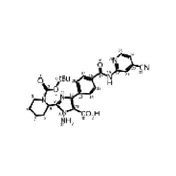 CC(C)(C)OC(=O)N1CCCCC1c1nc(-c2ccc(C(=O)Nc3cc(C#N)ccn3)cc2)c(C(=O)O)n1N